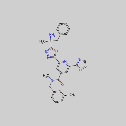 Cc1cccc(CN(C)C(=O)c2cc(-c3ncco3)nc(-c3nnc([C@](C)(N)Cc4ccccc4)o3)c2)c1